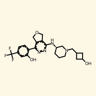 Oc1cc(C(F)(F)F)ccc1-c1nnc(N[C@@H]2CCCN(CC3CC(O)C3)C2)c2c1COC2